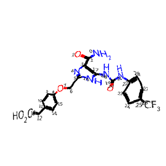 NC(=O)c1nc(COc2ccc(CC(=O)O)cc2)[nH]c1NC(=O)Nc1ccc(C(F)(F)F)cc1